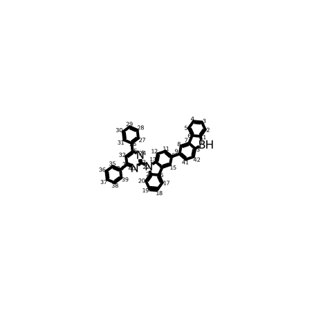 B1c2ccccc2-c2cc(-c3ccc4c(c3)c3cc#ccc3n4-c3nc(-c4ccccc4)cc(-c4ccccc4)n3)ccc21